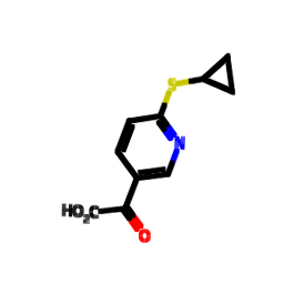 O=C(O)C(=O)c1ccc(SC2CC2)nc1